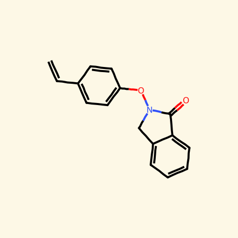 C=Cc1ccc(ON2Cc3ccccc3C2=O)cc1